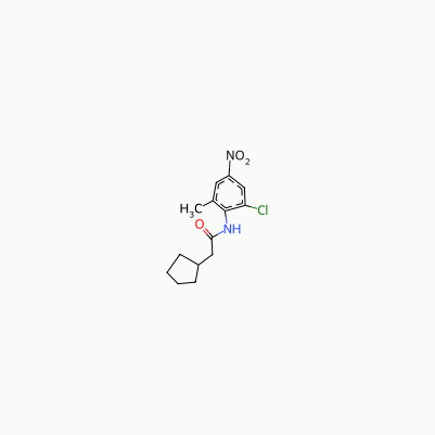 Cc1cc([N+](=O)[O-])cc(Cl)c1NC(=O)CC1CCCC1